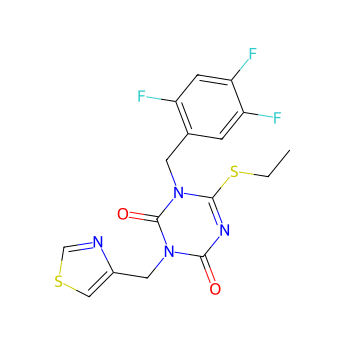 CCSc1nc(=O)n(Cc2cscn2)c(=O)n1Cc1cc(F)c(F)cc1F